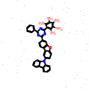 Bc1c(B)c(B)c(-c2nc(-c3ccccc3)nc(-c3ccc4c(c3)oc3ccc(-n5c6ccccc6c6ccccc65)cc34)n2)c(B)c1B